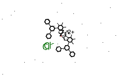 CC1=Cc2c(-c3cc(-c4ccccc4)cc(-c4ccccc4)c3)c(C)c(C)c(C)c2[CH]1[Zr+2]1([CH]2C(C)=Cc3c(-c4cc(-c5ccccc5)cc(-c5ccccc5)c4)c(C)c(C)c(C)c32)[CH2][CH2]1.[Cl-].[Cl-]